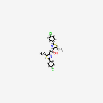 Cc1sc(-c2ccc(Cl)cc2)nc1CC(O)c1nc(-c2ccc(Cl)cc2)sc1C